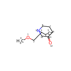 COCC1CCC2CCN1CC2=O